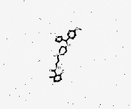 COc1ccc(C(NC2CCN([C@H](C)CCNC(=O)c3c(C)cccc3Cl)CC2)c2ccsc2)cc1